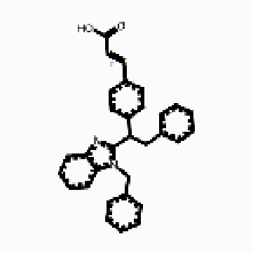 O=C(O)/C=C/c1ccc(C(Cc2ccccc2)c2nc3ccccc3n2Cc2ccccc2)cc1